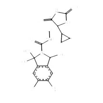 BC1(B)c2cc(Cl)c(C(F)(F)F)cc2C(C)N1C(=O)NC[C@@]1(C2CC2)NC(=O)NC1=O